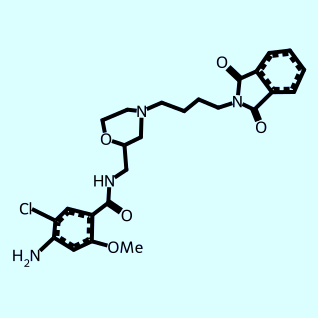 COc1cc(N)c(Cl)cc1C(=O)NCC1CN(CCCCN2C(=O)c3ccccc3C2=O)CCO1